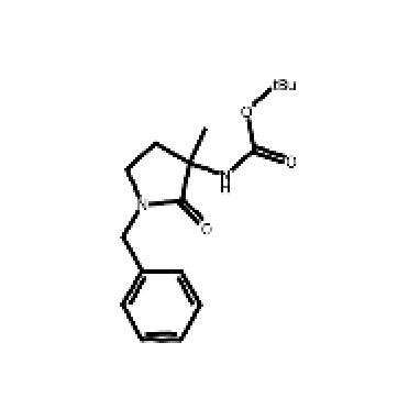 CC(C)(C)OC(=O)NC1(C)CCN(Cc2ccccc2)C1=O